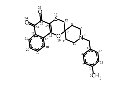 Cc1ccc(CN2CCC3(CC2)CSC2=C(O3)c3ccccc3C(=O)C2=O)cc1